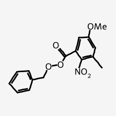 COc1cc(C)c([N+](=O)[O-])c(C(=O)OOCc2ccccc2)c1